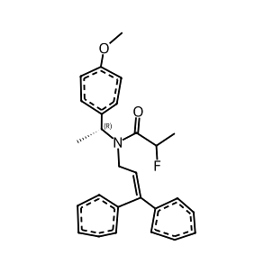 COc1ccc([C@@H](C)N(CC=C(c2ccccc2)c2ccccc2)C(=O)C(C)F)cc1